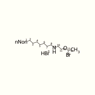 Br.CCCCCCCCCCCCCCCCNCCOC(C)Br